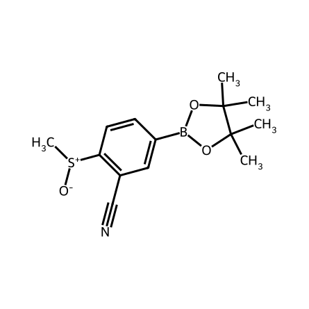 C[S+]([O-])c1ccc(B2OC(C)(C)C(C)(C)O2)cc1C#N